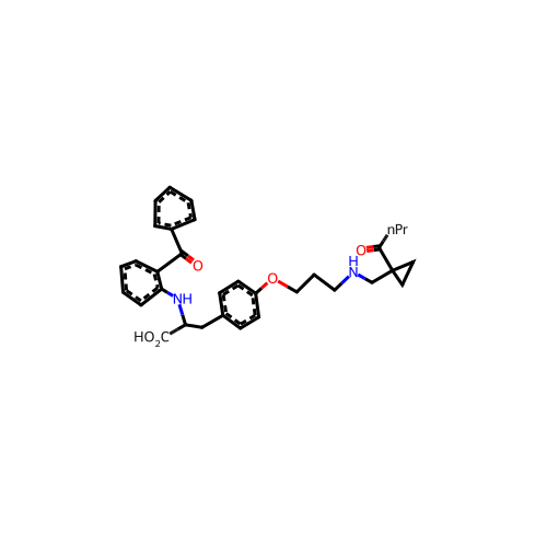 CCCC(=O)C1(CNCCCOc2ccc(CC(Nc3ccccc3C(=O)c3ccccc3)C(=O)O)cc2)CC1